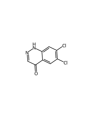 O=c1cn[nH]c2cc(Cl)c(Cl)cc12